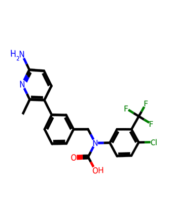 Cc1nc(N)ccc1-c1cccc(CN(C(=O)O)c2ccc(Cl)c(C(F)(F)F)c2)c1